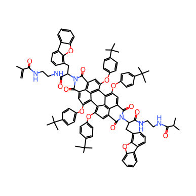 C=C(C)C(=O)NCCNC(=O)C(Cc1cccc2c1oc1ccccc12)N1C(=O)c2cc(Oc3ccc(C(C)(C)C)cc3)c3c4c(Oc5ccc(C(C)(C)C)cc5)cc5c6c(cc(Oc7ccc(C(C)(C)C)cc7)c(c7c(Oc8ccc(C(C)(C)C)cc8)cc(c2c37)C1=O)c64)C(=O)N(C(Cc1cccc2c1oc1ccccc12)C(=O)NCCNC(=O)C(C)C)C5=O